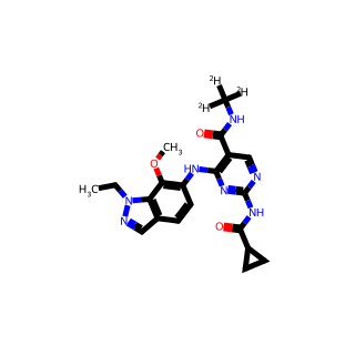 [2H]C([2H])([2H])NC(=O)c1cnc(NC(=O)C2CC2)nc1Nc1ccc2cnn(CC)c2c1OC